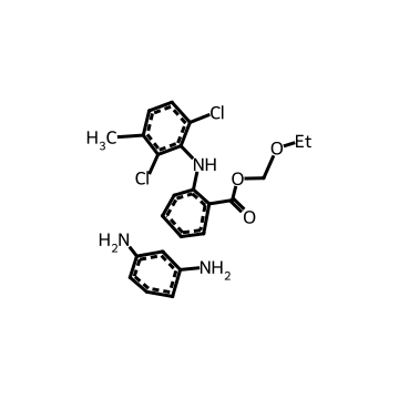 CCOCOC(=O)c1ccccc1Nc1c(Cl)ccc(C)c1Cl.Nc1cccc(N)c1